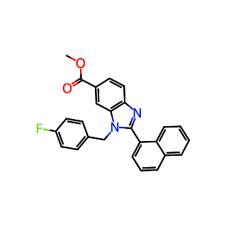 COC(=O)c1ccc2nc(-c3cccc4ccccc34)n(Cc3ccc(F)cc3)c2c1